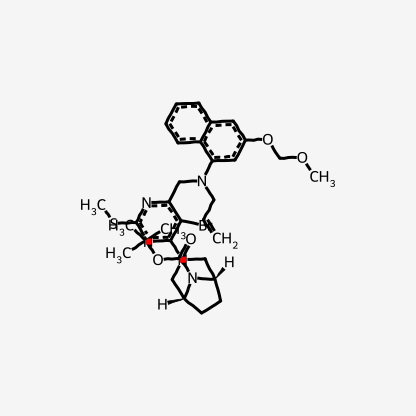 C=CCN(Cc1nc(SC)nc(N2C[C@H]3CC[C@@H](C2)N3C(=O)OC(C)(C)C)c1Br)c1cc(OCOC)cc2ccccc12